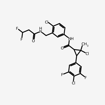 CC1(Cl)C(C(=O)Nc2ccc(Cl)c(CNC(=O)CC(F)F)c2)C1c1cc(F)c(Cl)c(F)c1